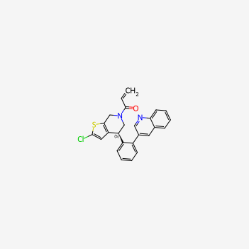 C=CC(=O)N1Cc2sc(Cl)cc2[C@H](c2ccccc2-c2cnc3ccccc3c2)C1